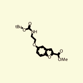 COC(=O)c1cc2cc(OCCNC(=O)OC(C)(C)C)ccc2o1